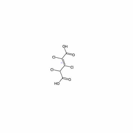 O=C(O)/C(Cl)=C(\Cl)C(Cl)C(=O)O